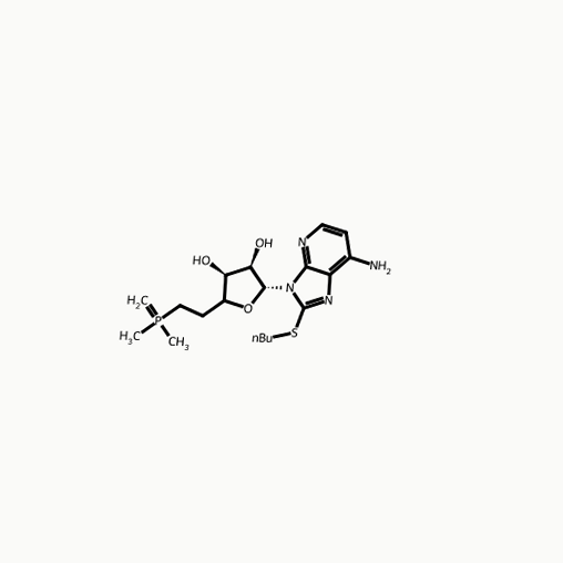 C=P(C)(C)CCC1O[C@@H](n2c(SCCCC)nc3c(N)ccnc32)[C@H](O)[C@@H]1O